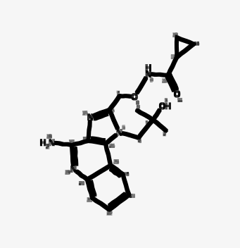 CC(C)(O)Cn1c(CONC(=O)C2CC2)nc2c(N)nc3ccccc3c21